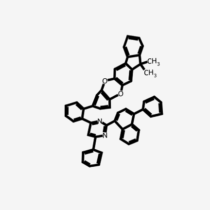 CC1(C)c2ccccc2-c2cc3c(cc21)Oc1ccc(-c2ccccc2-c2cc(-c4ccccc4)nc(-c4ccc(-c5ccccc5)c5ccccc45)n2)cc1O3